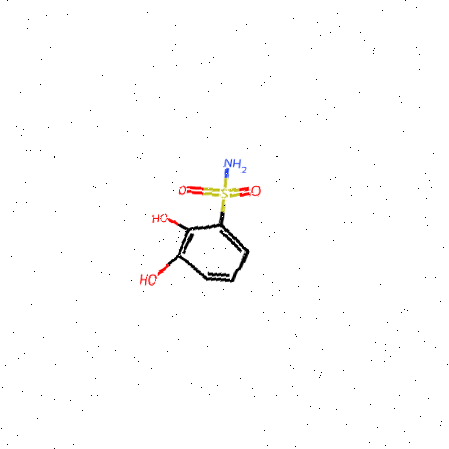 NS(=O)(=O)c1cccc(O)c1O